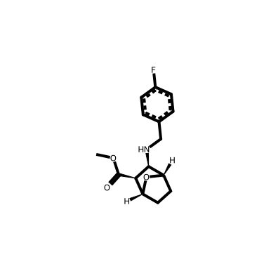 COC(=O)[C@H]1[C@@H](NCc2ccc(F)cc2)[C@@H]2CC[C@H]1O2